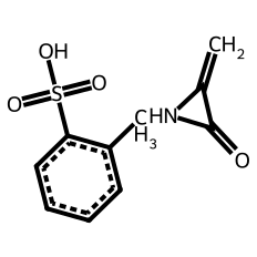 C=C1NC1=O.Cc1ccccc1S(=O)(=O)O